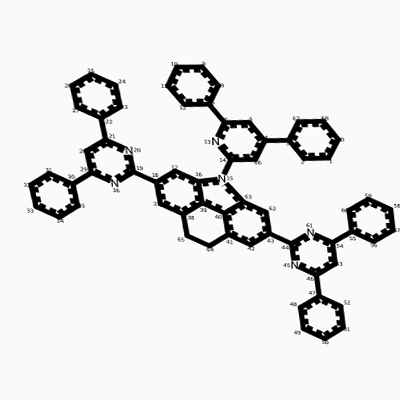 c1ccc(-c2cc(-c3ccccc3)nc(-n3c4cc(-c5nc(-c6ccccc6)cc(-c6ccccc6)n5)cc5c4c4c(cc(-c6nc(-c7ccccc7)cc(-c7ccccc7)n6)cc43)CC5)c2)cc1